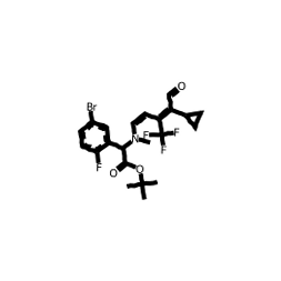 CN(/C=C\C(=C(/C=O)C1CC1)C(F)(F)F)C(C(=O)OC(C)(C)C)c1cc(Br)ccc1F